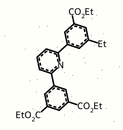 CCOC(=O)c1cc(CC)cc(-c2cccc(-c3cc(C(=O)OCC)cc(C(=O)OCC)c3)n2)c1